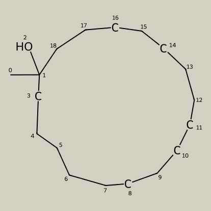 CC1(O)CCCCCCCCCCCCCCCC1